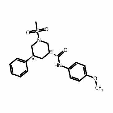 CS(=O)(=O)N1C[C@H](C(=O)Nc2ccc(OC(F)(F)F)cc2)C[C@@H](c2ccccc2)C1